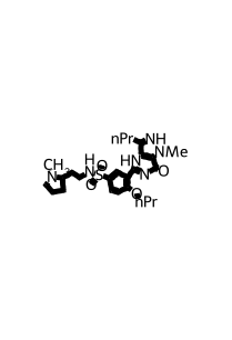 CCCOc1ccc(S(=O)(=O)NCCC2CCCN2C)cc1-c1nc(=O)c(NC)c(C(=N)CCC)[nH]1